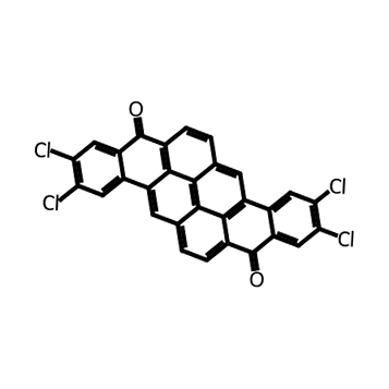 O=c1c2cc(Cl)c(Cl)cc2c2cc3ccc4c(=O)c5cc(Cl)c(Cl)cc5c5cc6ccc1c2c6c3c45